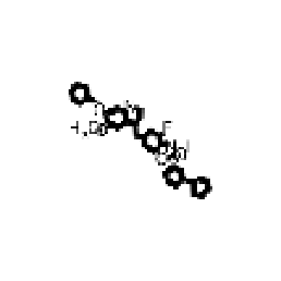 COc1cc2c(Cc3ccc(NS(=O)(=O)c4cccc(-c5ccccc5)c4)c(F)c3)ccnc2cc1OCc1ccccc1